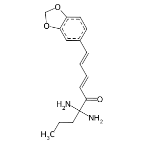 CCCC(N)(N)C(=O)C=CC=Cc1ccc2c(c1)OCO2